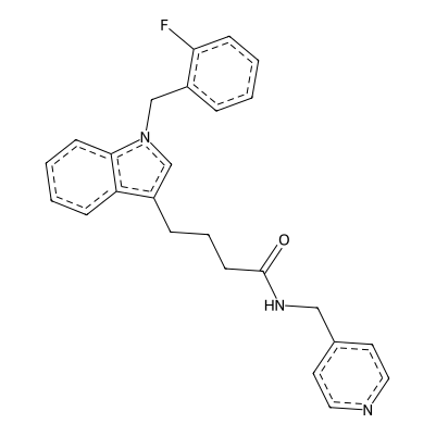 O=C(CCCc1cn(Cc2ccccc2F)c2ccccc12)NCc1ccncc1